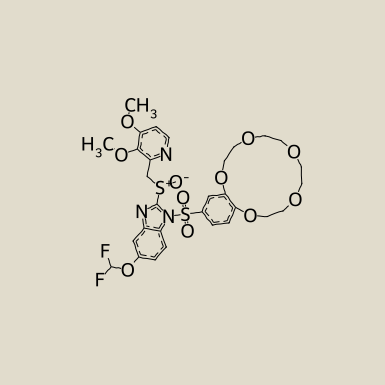 COc1ccnc(C[S+]([O-])c2nc3cc(OC(F)F)ccc3n2S(=O)(=O)c2ccc3c(c2)OCCOCCOCCOCCO3)c1OC